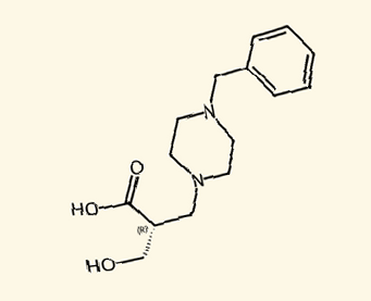 O=C(O)[C@@H](CO)CN1CCN(Cc2ccccc2)CC1